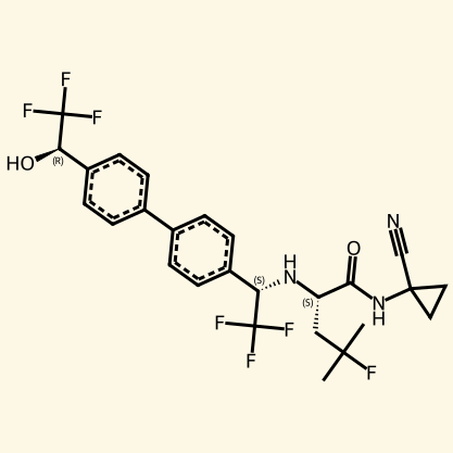 CC(C)(F)C[C@H](N[C@@H](c1ccc(-c2ccc([C@@H](O)C(F)(F)F)cc2)cc1)C(F)(F)F)C(=O)NC1(C#N)CC1